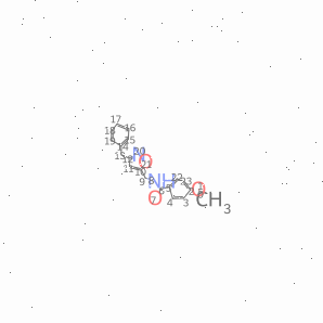 COc1ccc(C(=O)NCc2cc(Cc3ccccc3)no2)cc1